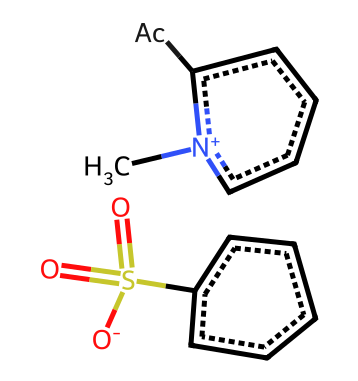 CC(=O)c1cccc[n+]1C.O=S(=O)([O-])c1ccccc1